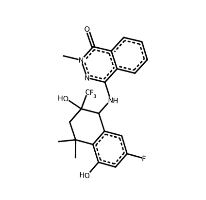 Cn1nc(NC2c3cc(F)cc(O)c3C(C)(C)CC2(O)C(F)(F)F)c2ccccc2c1=O